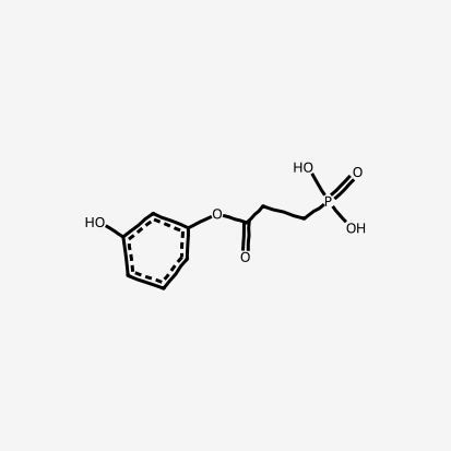 O=C(CCP(=O)(O)O)Oc1cccc(O)c1